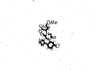 COCCC(C(=O)OC)N1CC(=O)N(c2cc(Cl)ccc2-n2cnnn2)CC1=O